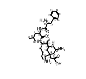 CCCC[C@@H](NC(=O)[C@@H](CC(C)C)NC(=O)[C@H](N)Cc1ccccc1)C(=O)C1CC(CN)(CC(=O)O)CC(N)N1